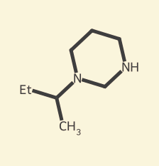 CCC(C)N1CCCNC1